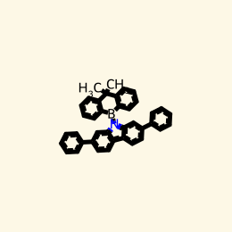 CC1(C)c2ccccc2B(n2c3cc(-c4ccccc4)ccc3c3ccc(-c4ccccc4)cc32)c2ccccc21